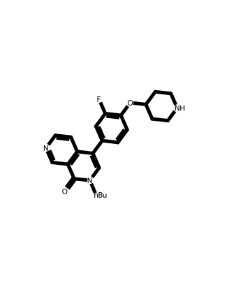 CCCCn1cc(-c2ccc(OC3CCNCC3)c(F)c2)c2ccncc2c1=O